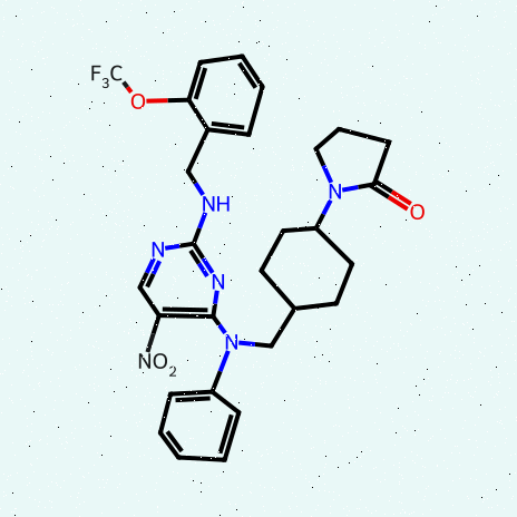 O=C1CCCN1C1CCC(CN(c2ccccc2)c2nc(NCc3ccccc3OC(F)(F)F)ncc2[N+](=O)[O-])CC1